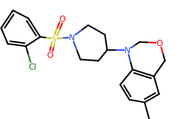 Cc1ccc2c(c1)COCN2C1CCN(S(=O)(=O)c2ccccc2Cl)CC1